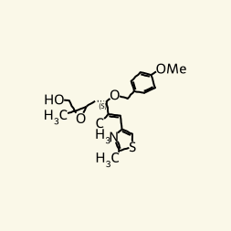 COc1ccc(CO[C@@H](CC2OC2(C)CO)C(C)=Cc2csc(C)n2)cc1